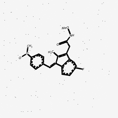 CONC(=O)CC1=C(C)C(=Cc2ccc([S+](C)[O-])cc2)c2ccc(F)cc21